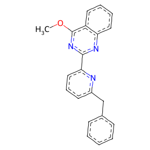 COc1nc(-c2cccc(Cc3ccccc3)n2)nc2ccccc12